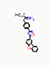 N[C@@H](Cc1ccc(-c2noc(-c3ccc4oc5ccccc5c4c3)n2)cc1)C(=O)O